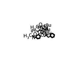 Cc1nc2ccc(OCC(Cc3ccccc3)NC(=O)C3(N(C)C(=O)C(CC(C)C)N(C)C(=O)OC(C)(C)C)CC3)c(C(=O)O)c2o1